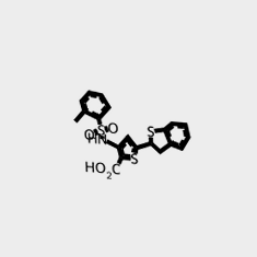 Cc1ccccc1S(=O)(=O)Nc1cc(C2Cc3ccccc3S2)sc1C(=O)O